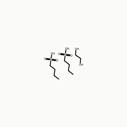 CCCCS(=O)(=O)O.CCCCS(=O)(=O)O.OCCO